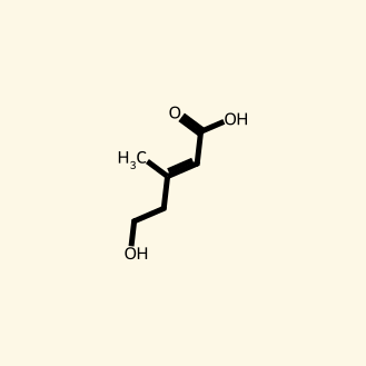 C/C(=C\C(=O)O)CCO